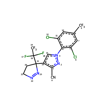 N#Cc1nn(-c2c(Cl)cc(C(F)(F)F)cc2Cl)cc1C1(C(F)(F)C(F)(F)F)CCN=N1